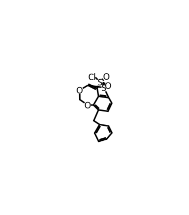 O=S(=O)(Cl)c1c2sc3ccc(Cc4ccccc4)c(c13)OCO2